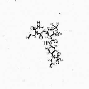 C=CCN1C(=O)NCC(c2cc(C(=O)Nc3ccc(N(CC=C)S(C)(=O)=O)cc3)c(OC)c(C(C)(C)C)c2)C1=O